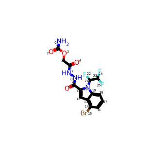 NC(=O)OCC(=O)NNC(=O)c1cc2c(Br)cccc2n1C(F)C(F)F